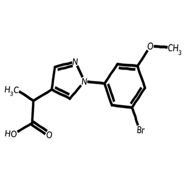 COc1cc(Br)cc(-n2cc(C(C)C(=O)O)cn2)c1